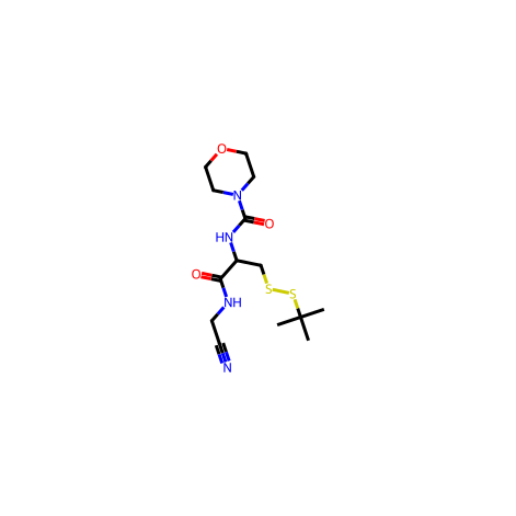 CC(C)(C)SSCC(NC(=O)N1CCOCC1)C(=O)NCC#N